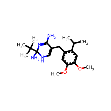 COc1cc(CC2=CNC(N)(C(C)(C)C)N=C2N)c(C(C)C)cc1OC